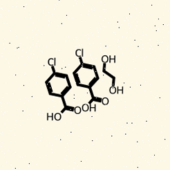 O=C(O)c1ccc(Cl)cc1.O=C(O)c1ccc(Cl)cc1.OCCO